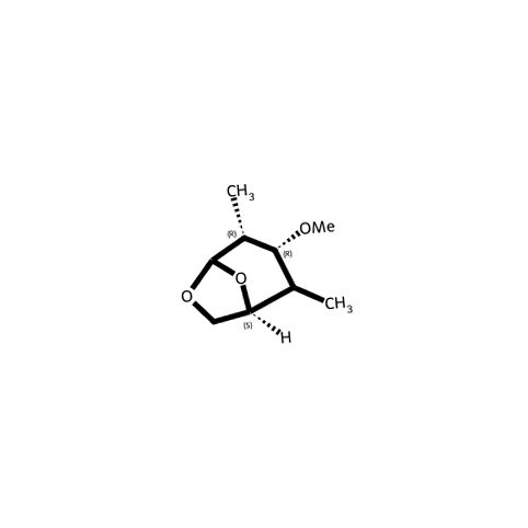 CO[C@@H]1C(C)[C@H]2COC(O2)[C@@H]1C